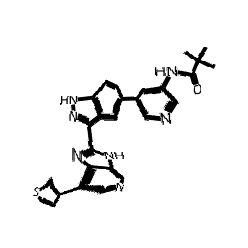 CC(C)(C)C(=O)Nc1cncc(-c2ccc3[nH]nc(-c4nc5c(-c6ccsc6)cncc5[nH]4)c3c2)c1